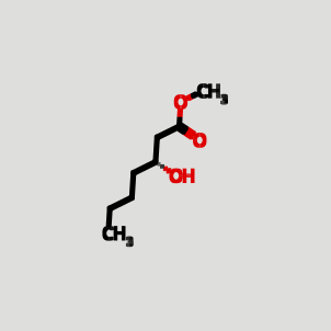 CCCC[C@@H](O)CC(=O)OC